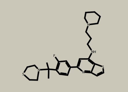 CC(C)(c1ccc(-c2cc(NCCCN3CCCCC3)c3sccc3n2)cc1F)N1CCSCC1